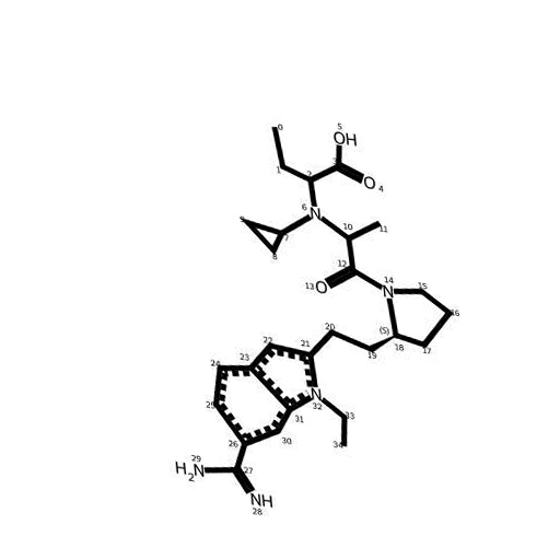 CCC(C(=O)O)N(C1CC1)C(C)C(=O)N1CCC[C@H]1CCc1cc2ccc(C(=N)N)cc2n1CC